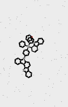 C1=Cc2c(n(-c3ccccc3)c3ccccc23)C([Si](c2ccccc2)(c2ccccc2)c2ccc(-n3c4ccccc4c4c5sc6ccccc6c5ccc43)cc2)C1